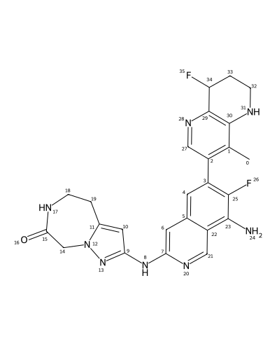 Cc1c(-c2cc3cc(Nc4cc5n(n4)CC(=O)NCC5)ncc3c(N)c2F)cnc2c1NCCC2F